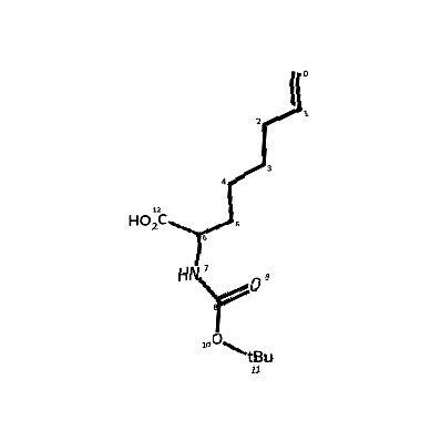 C=CCCCCC(NC(=O)OC(C)(C)C)C(=O)O